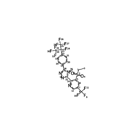 CCS(=O)(=O)c1cc(C(F)(F)F)cnc1-c1nnc(-c2ccc(C(F)(C(F)(F)F)C(F)(F)F)cc2)n1C